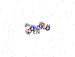 CC(C)c1nc(N2CCN(C(=O)Cc3cccnc3)C(C(C)C)C2)c(C#N)c2c1COC(C)(C)C2